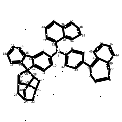 C1=CCC(c2ccc(N(c3ccc4c(c3)-c3ccccc3C43C4CC5CC6CC3C6(C5)C4)c3cccc4ccccc34)cc2)=c2ccccc2=C1